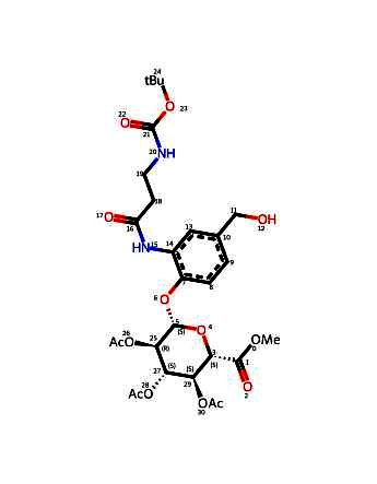 COC(=O)[C@H]1O[C@@H](Oc2ccc(CO)cc2NC(=O)CCNC(=O)OC(C)(C)C)[C@H](OC(C)=O)[C@@H](OC(C)=O)[C@@H]1OC(C)=O